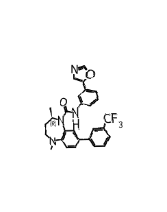 C[C@@H]1CCN(C)c2ccc(-c3cccc(C(F)(F)F)c3)cc2N1C(=O)Nc1cccc(-c2cnco2)c1